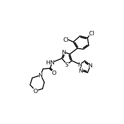 O=C(CN1CCOCC1)Nc1nc(-c2ccc(Cl)cc2Cl)c(-n2cncn2)s1